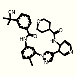 Cc1ccc(NC(=O)c2cccc(C(C)(C)C#N)c2)cc1-n1cc(C2C=NC=CC2NC(=O)C2CCOCC2)cn1